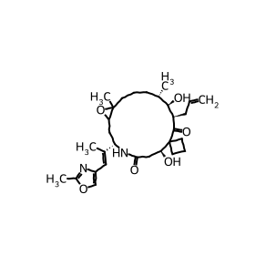 C=CC[C@H]1C(=O)C2(CCC2)[C@@H](O)CC(=O)N[C@H](C(C)=Cc2coc(C)n2)CC2OC2(C)CCC[C@H](C)[C@H]1O